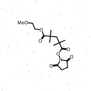 COCCOC(=O)C(C)(C)CC(C)(C)C(=O)ON1C(=O)CCC1=O